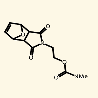 CNC(=O)OCCN1C(=O)C2C3C=CC(O3)C2C1=O